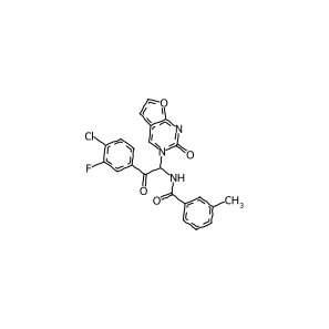 Cc1cccc(C(=O)NC(C(=O)c2ccc(Cl)c(F)c2)n2cc3ccoc3nc2=O)c1